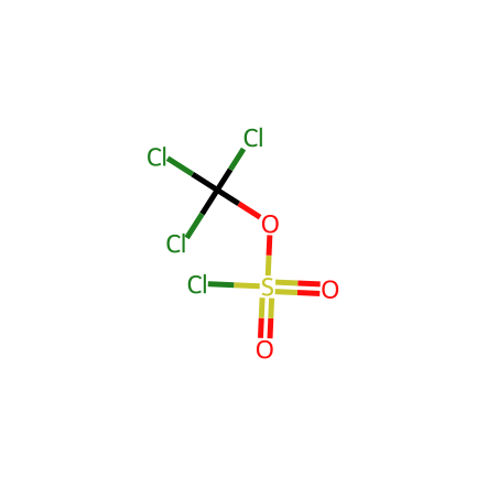 O=S(=O)(Cl)OC(Cl)(Cl)Cl